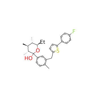 CC[C@H]1OC(O)(c2ccc(C)c(Cc3ccc(-c4ccc(F)cc4)s3)c2)[C@H](C)[C@@H](C)[C@@H]1C